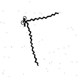 C=C1OC(=O)C1(CCCCCCCCCCCCCCCC)CCCCCCCCCCCCCCCCCCCCCC